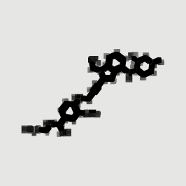 COc1cc(C(O)NCC(=O)O)ccc1NCC#Cc1cc2c(N[C@@H]3CCN(C)C[C@@H]3F)cccc2n1CC(F)(F)F